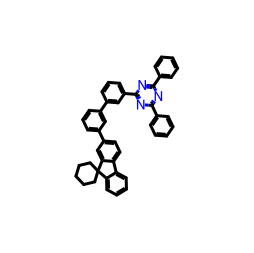 c1ccc(-c2nc(-c3ccccc3)nc(-c3cccc(-c4cccc(-c5ccc6c(c5)C5(CCCCC5)c5ccccc5-6)c4)c3)n2)cc1